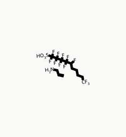 C=CCN.O=S(=O)(O)C(F)(F)C(F)(F)C(F)(F)C(F)(F)C(F)CCCCC(F)(F)F